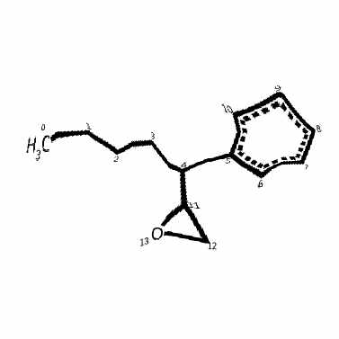 CCCCC(c1ccccc1)C1CO1